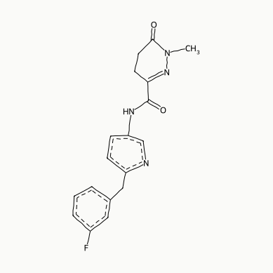 CN1N=C(C(=O)Nc2ccc(Cc3cccc(F)c3)nc2)CCC1=O